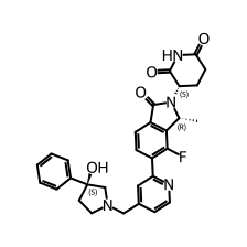 C[C@@H]1c2c(ccc(-c3cc(CN4CC[C@](O)(c5ccccc5)C4)ccn3)c2F)C(=O)N1[C@H]1CCC(=O)NC1=O